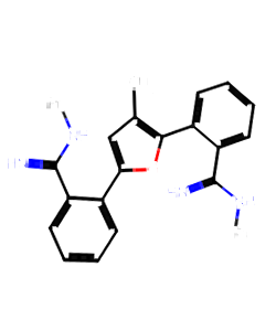 Cc1cc(-c2ccccc2C(=N)NC(C)C)oc1-c1ccccc1C(=N)NC(C)C